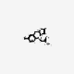 NC(=O)COc1ccc(Cl)cc1Cc1ncc[nH]1